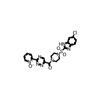 O=C(c1cnc(-c2cccc[n+]2[O-])nn1)N1CCN(S(=O)(=O)c2nc3ccc(Cl)cc3[nH]2)CC1